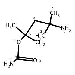 CC(C)(N)CC(C)(C)OC(N)=O